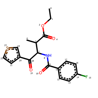 CCOC(=O)C(C)C(NC(=O)c1ccc(F)cc1)C(=O)c1ccsc1